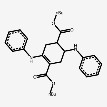 CCCCOC(=O)C1=C(Nc2ccccc2)CC(C(=O)OCCCC)C(Nc2ccccc2)C1